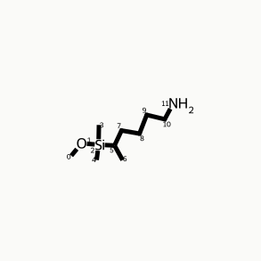 CO[Si](C)(C)C(C)CCCCN